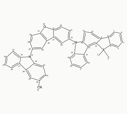 CC1(C)c2ccccc2-c2ccc3c(c21)c1ccccc1n3-c1ccc2oc3ccc(-n4c5ccccc5c5cc(C#N)ccc54)cc3c2c1